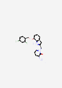 Nc1cccn(Cc2cc3cccc(OCc4ccc(F)cc4F)c3[nH]2)c1=O